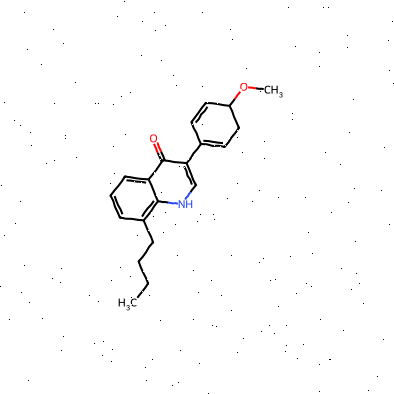 CCCCc1cccc2c(=O)c(C3=CCC(OC)C=C3)c[nH]c12